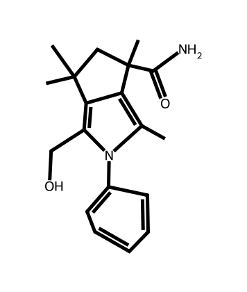 Cc1c2c(c(CO)n1-c1ccccc1)C(C)(C)CC2(C)C(N)=O